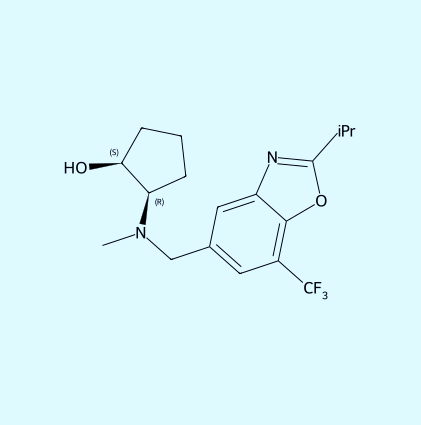 CC(C)c1nc2cc(CN(C)[C@@H]3CCC[C@@H]3O)cc(C(F)(F)F)c2o1